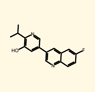 CC(C)c1ncc(-c2cnc3ccc(F)cc3c2)cc1O